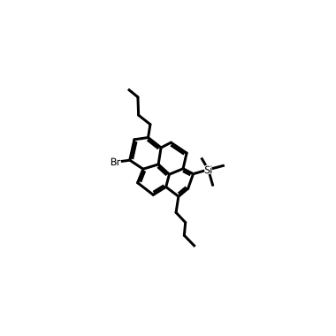 CCCCc1cc(Br)c2ccc3c(CCCC)cc([Si](C)(C)C)c4ccc1c2c34